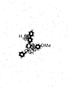 COc1ccc(S(=O)(=O)NC2C(=O)N(c3ccc(-c4ccccc4)c(S(C)(=O)=O)c3)CCN2C(=O)OCc2ccccc2)cc1